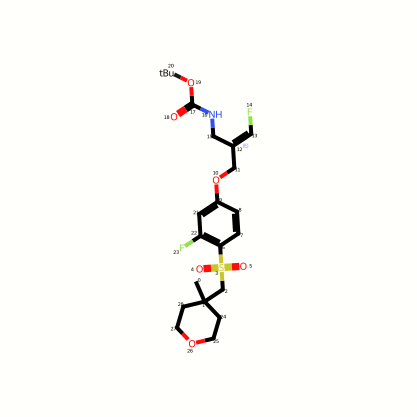 CC1(CS(=O)(=O)c2ccc(OC/C(=C/F)CNC(=O)OC(C)(C)C)cc2F)CCOCC1